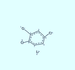 [Li+].[O-]c1cc(Cl)ccc1Cl